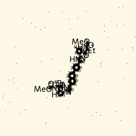 CCC(NC(=O)OC)C(=O)N1C[C@H](C)C[C@H]1c1ncc(-c2ccc(-c3ccc4cc(-c5cnc([C@@H]6CCCN6C(=O)C(NC(=O)OC)C(C)C)[nH]5)ccc4c3)cc2)[nH]1